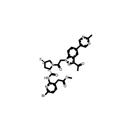 COC(=O)Cc1ccc(Br)nc1NC(=O)[C@@H]1C[C@@H](F)CN1C(=O)Cn1nc(C(C)=O)c2cc(-c3cnc(C)nc3)ccc21